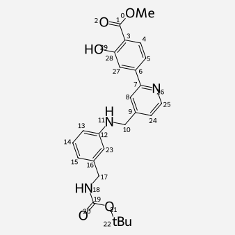 COC(=O)c1ccc(-c2cc(CNc3cccc(CNC(=O)OC(C)(C)C)c3)ccn2)cc1O